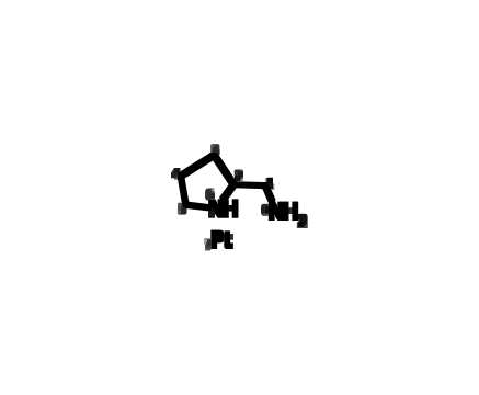 NCC1CCCN1.[Pt]